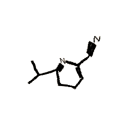 CC(C)C1=NC(C#N)=CCC1